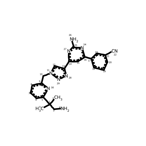 CC(C)(CN)c1cccc(Cn2cc(-c3cc(-c4cccc(C#N)c4)nc(N)n3)nn2)n1